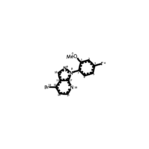 COc1cc(F)ccc1-n1ncc2c(Br)ccnc21